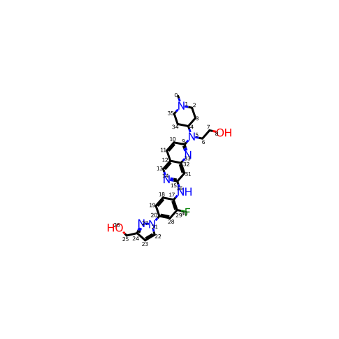 CN1CCC(N(CCO)c2ccc3cnc(Nc4ccc(-n5ccc(CO)n5)cc4F)cc3n2)CC1